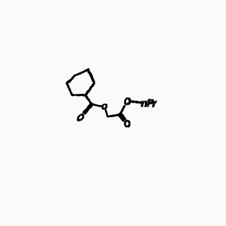 CCCOC(=O)COC(=O)C1CCCCC1